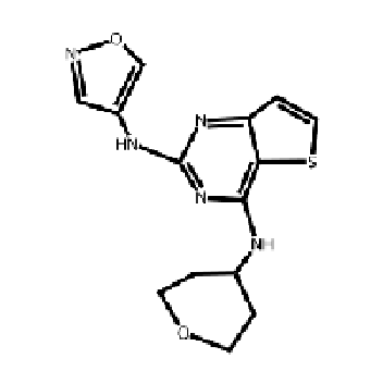 c1cc2nc(Nc3cnoc3)nc(NC3CCOCC3)c2s1